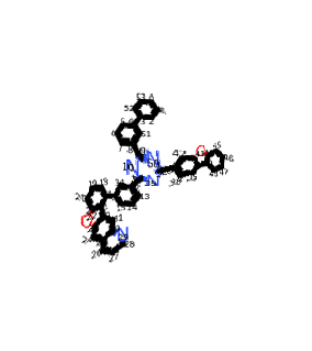 c1ccc(-c2cccc(-c3nc(-c4cccc(-c5cccc6oc7cc8cccnc8cc7c56)c4)nc(-c4ccc5c(c4)oc4ccccc45)n3)c2)cc1